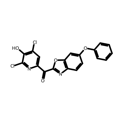 O=C(c1cc(Cl)c(O)c(Cl)n1)c1nc2ccc(Oc3ccccc3)cc2o1